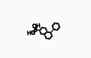 OB(O)c1ccc2c(-c3ccccc3)cccc2c1